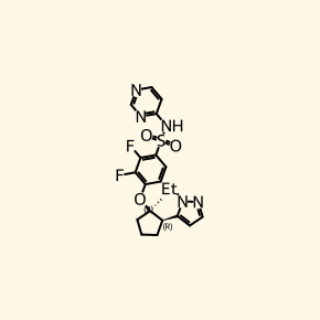 CCn1nccc1[C@H]1CCC[C@@]1(C)Oc1ccc(S(=O)(=O)Nc2ccncn2)c(F)c1F